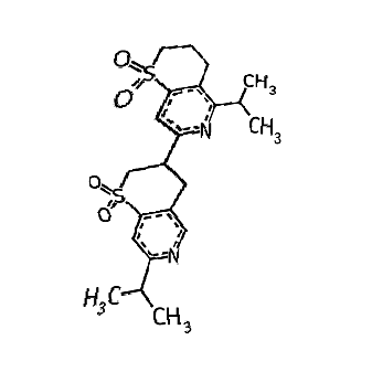 CC(C)c1cc2c(cn1)CC(c1cc3c(c(C(C)C)n1)CCCS3(=O)=O)CS2(=O)=O